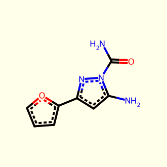 NC(=O)n1nc(-c2ccco2)cc1N